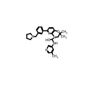 Cc1cncc(NC(O)N2CC(C)(C)Oc3ccc(-c4cccc(CN5CCCC5)c4)nc32)c1